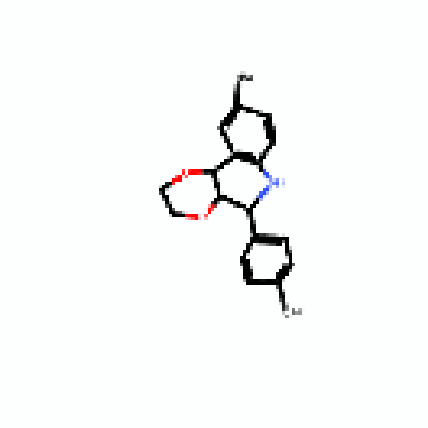 CCC(C)c1ccc2c(c1)C1OCCOC1C(c1ccc(OC(C)=O)cc1)N2